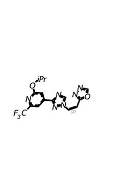 CC(C)Oc1cc(-c2ncn(/C=C\c3nnco3)n2)cc(C(F)(F)F)n1